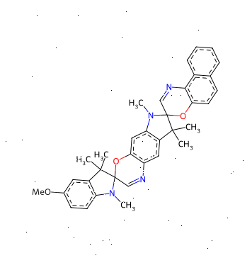 COc1ccc2c(c1)C(C)(C)C1(C=Nc3cc4c(cc3O1)N(C)C1(C=Nc3c(ccc5ccccc35)O1)C4(C)C)N2C